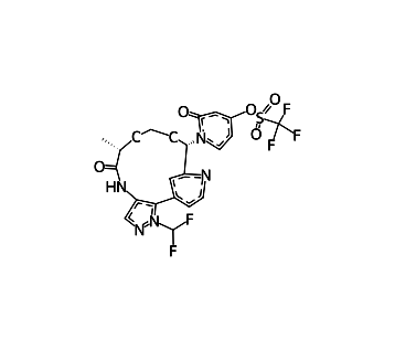 C[C@@H]1CCC[C@H](n2ccc(OS(=O)(=O)C(F)(F)F)cc2=O)c2cc(ccn2)-c2c(cnn2C(F)F)NC1=O